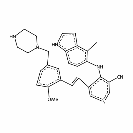 COc1ccc(CN2CCNCC2)cc1/C=C/c1cncc(C#N)c1Nc1ccc2[nH]ccc2c1C